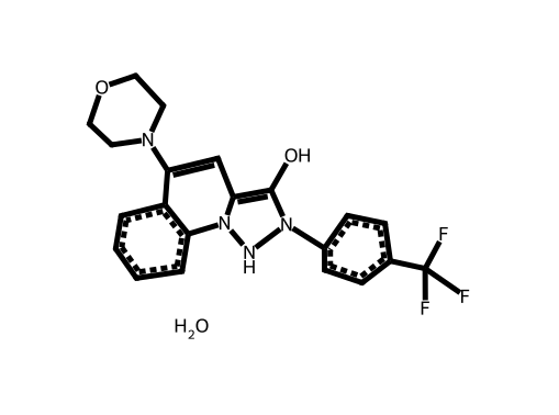 O.OC1=C2C=C(N3CCOCC3)c3ccccc3N2NN1c1ccc(C(F)(F)F)cc1